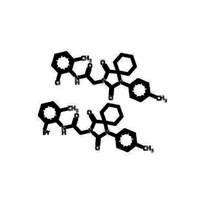 Cc1ccc(N2C(=O)N(CC(=O)Nc3c(C)cccc3C(C)C)C(=O)C23CCCCC3)cc1.Cc1ccc(N2C(=O)N(CC(=O)Nc3c(C)cccc3Cl)C(=O)C23CCCCC3)cc1